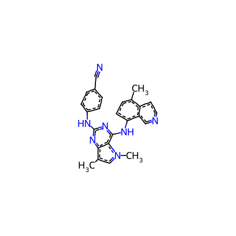 Cc1ccc(Nc2nc(Nc3ccc(C#N)cc3)nc3c(C)cn(C)c23)c2cnccc12